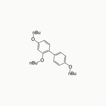 CCCCOc1ccc(-c2ccc(OCCCC)cc2OCCCC)cc1